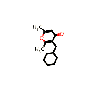 Cc1cc(=O)c(CC2CCCCC2)c(C)o1